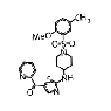 COc1ccc(C)cc1S(=O)(=O)N1CCC(Nc2ncc(C(=O)c3ccccn3)s2)CC1